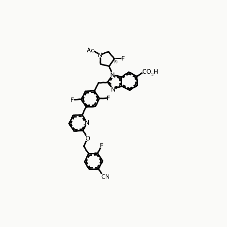 CC(=O)N1CC(n2c(Cc3cc(F)c(-c4cccc(OCc5ccc(C#N)cc5F)n4)cc3F)nc3ccc(C(=O)O)cc32)[C@H](F)C1